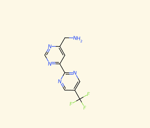 NCc1cc(-c2ncc(C(F)(F)F)cn2)ncn1